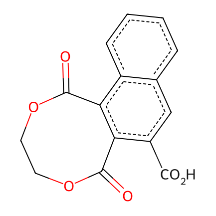 O=C(O)c1cc2ccccc2c2c1C(=O)OCCOC2=O